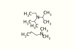 C=CCN(C)C.CCN(C(C)C)C(C)C